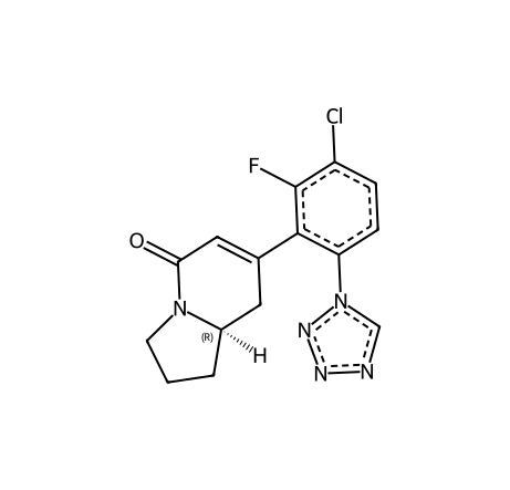 O=C1C=C(c2c(-n3cnnn3)ccc(Cl)c2F)C[C@H]2CCCN12